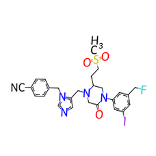 CS(=O)(=O)CCC1CN(c2cc(I)cc(CF)c2)C(=O)CN1Cc1cncn1Cc1ccc(C#N)cc1